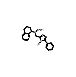 CCCCCN(Cc1nnc(-c2ccccc2)n1C)C1CCCc2cccnc21